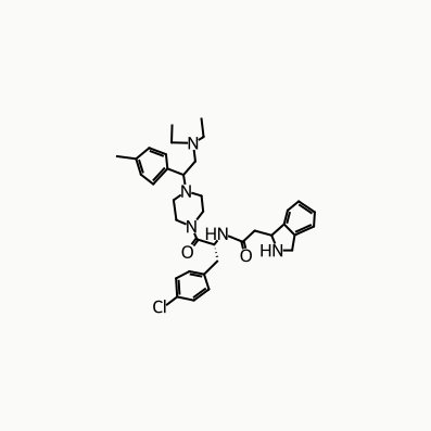 CCN(CC)CC(c1ccc(C)cc1)N1CCN(C(=O)[C@@H](Cc2ccc(Cl)cc2)NC(=O)CC2NCc3ccccc32)CC1